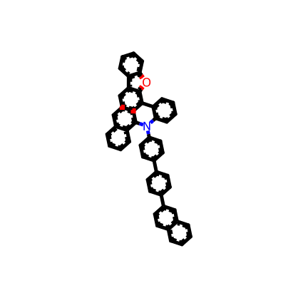 c1ccc(N(c2ccc(-c3ccc(-c4ccc5ccccc5c4)cc3)cc2)c2cccc3ccccc23)c(-c2cccc3c2oc2ccccc23)c1